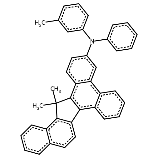 Cc1cccc(N(c2ccccc2)c2ccc3c4c(c5ccccc5c3c2)-c2ccc3ccccc3c2C4(C)C)c1